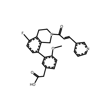 COc1ccc(CC(=O)O)cc1-c1ccc(F)c2c1CN(C(=O)C=Cc1cccnc1)CC2